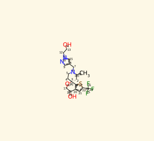 C[C@H]1C[C@@]2(CCN1Cc1cnn(CCO)c1)OC[C@@H](O)c1cc(C(F)(F)F)sc12